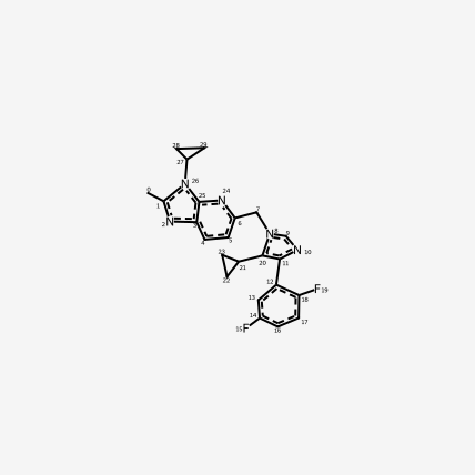 Cc1nc2ccc(Cn3cnc(-c4cc(F)ccc4F)c3C3CC3)nc2n1C1CC1